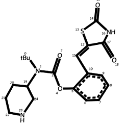 CC(C)(C)N(C(=O)Oc1ccccc1C=C1SC(=O)NC1=O)C1CCCNC1